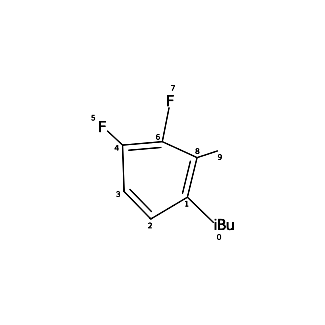 CCC(C)c1ccc(F)c(F)c1C